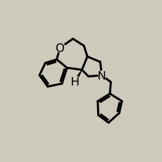 c1ccc(CN2CC3CCOc4ccccc4[C@H]3C2)cc1